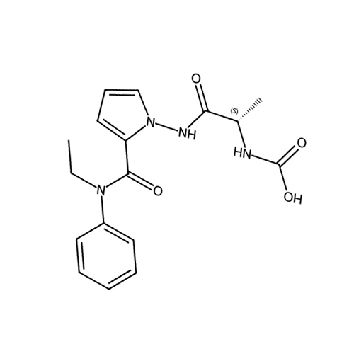 CCN(C(=O)c1cccn1NC(=O)[C@H](C)NC(=O)O)c1ccccc1